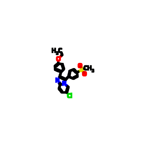 CCOc1ccc(-c2nc3ccc(Cl)cn3c2-c2ccc(S(C)(=O)=O)cc2)cc1